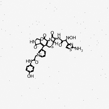 Nc1nc(C(=NO)C(=O)N[C@@H]2C(=O)N3C(C(=O)[O-])=C(C(=C4CCNC4=O)c4ccc[n+](CC(=O)Nc5ccc(O)cc5)c4)CS[C@H]23)cs1